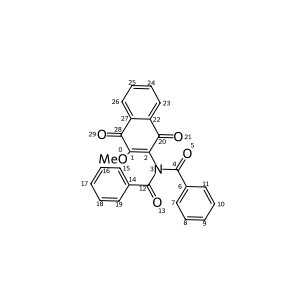 COC1=C(N(C(=O)c2ccccc2)C(=O)c2ccccc2)C(=O)c2ccccc2C1=O